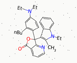 CCCCc1cc(N(CC)CC)ccc1C1(c2c(C)n(CC)c3ccccc23)OC(=O)c2cccnc21